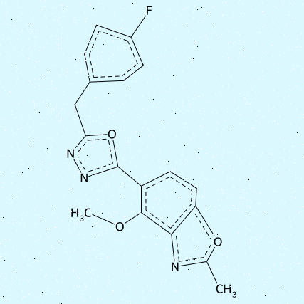 COc1c(-c2nnc(Cc3ccc(F)cc3)o2)ccc2oc(C)nc12